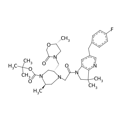 C[C@@H]1CN(C[C@H]2CN(C(=O)OC(C)(C)C)[C@H](C)CN2CC(=O)N2CC(C)(C)c3ncc(Cc4ccc(F)cc4)cc32)C(=O)CO1